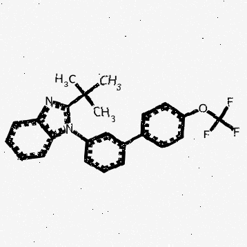 CC(C)(C)c1nc2cc[c]cc2n1-c1cccc(-c2ccc(OC(F)(F)F)cc2)c1